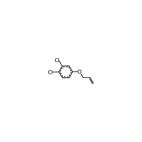 C=CCOc1ccc(Cl)c(Cl)c1